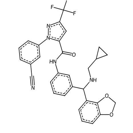 N#Cc1cccc(-n2nc(C(F)(F)F)cc2C(=O)Nc2cccc(C(NCC3CC3)c3cccc4c3OCO4)c2)c1